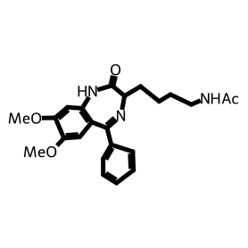 COc1cc2c(cc1OC)C(c1ccccc1)=NC(CCCCNC(C)=O)C(=O)N2